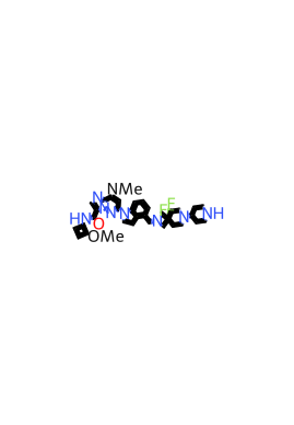 CNc1cc(N2CCc3c(CN4CC5(CCN(C6CCNCC6)CC5(F)F)C4)cccc32)nn2c(C(=O)N[C@@H]3CC[C@H]3OC)cnc12